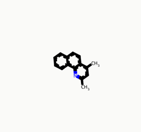 Cc1cc(C)c2ccc3ccccc3c2n1